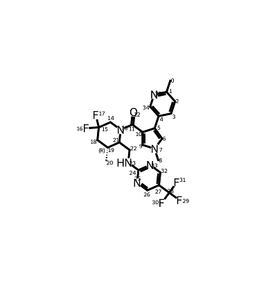 Cc1ccc(-c2cn(C)cc2C(=O)N2CC(F)(F)C[C@@H](C)C2CNc2ncc(C(F)(F)F)cn2)cn1